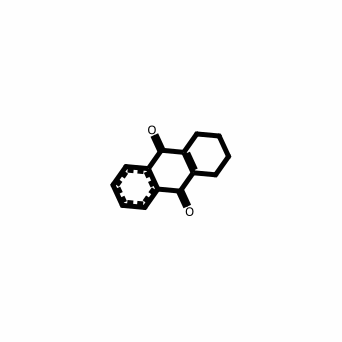 O=C1C2=C(CCCC2)C(=O)c2ccccc21